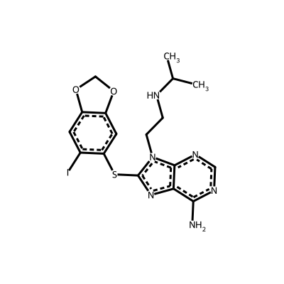 CC(C)NCCn1c(Sc2cc3c(cc2I)OCO3)nc2c(N)ncnc21